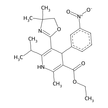 CCOC(=O)C1=C(C)NC(C(C)C)=C(C2=NC(C)(C)CO2)C1c1cccc([N+](=O)[O-])c1